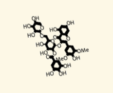 COc1cc(-c2oc3cc(O)cc(O)c3c(=O)c2O[C@H]2OC(CO[C@@H]3OC=C(O)C(O)C3O)[C@H](O)C(O)C2OC(=O)c2cc(O)c(O)c(O)c2)cc(OC)c1O